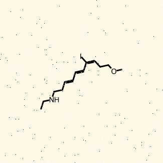 CCNCC/C=C/C=C/C(I)=C\CCOC